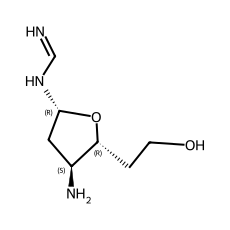 N=CN[C@H]1C[C@H](N)[C@@H](CCO)O1